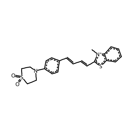 C[n+]1c(/C=C/C=C/c2ccc(N3CCS(=O)(=O)CC3)cc2)sc2ccccc21